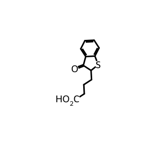 O=C(O)CCCC1Sc2ccccc2C1=O